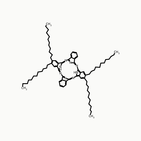 CCCCCCCCCCCCc1cc2c3nc4nc(nc5[nH]c(nc6nc(nc([nH]3)c2cc1CCCCCCCCCCCC)-c1ccccc1-6)c1cc(CCCCCCCCCCCC)c(CCCCCCCCCCCC)cc51)-c1ccccc1-4